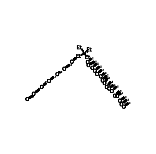 CC[N+](CC)(CC)CC.[C]=O.[C]=O.[C]=O.[C]=O.[C]=O.[C]=O.[C]=O.[C]=O.[C]=O.[C]=O.[C]=O.[C]=O.[C]=O.[C]=O.[C]=O.[C]=O.[C]=O.[C]=O.[C]=O.[C]=O.[C]=O.[C]=O.[C]=O